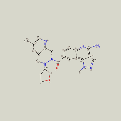 CC(=O)N([C@@H]1CCOC1)N(Cc1ccc(C(F)(F)F)cn1)C(=O)c1ccc2nc(N)c3cnn(C)c3c2c1